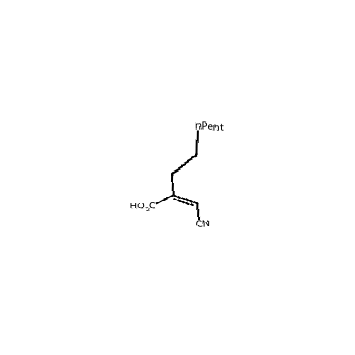 CCCCCCCC(=CC#N)C(=O)O